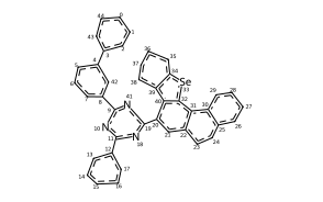 c1ccc(-c2cccc(-c3nc(-c4ccccc4)nc(-c4cc5ccc6ccccc6c5c5[se]c6ccccc6c45)n3)c2)cc1